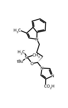 Cc1cn(CCC[C@@H](O[Si](C)(C)C(C)(C)C)n2cnc(C(=O)O)c2)c2ccccc12